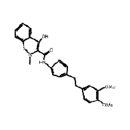 COc1ccc(CCc2ccc(NC(=O)C3=C(O)c4ccccc4SN3C)cc2)cc1OC